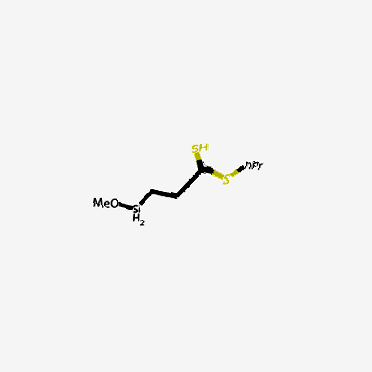 CCCSC(S)CC[SiH2]OC